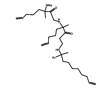 C=CCCCCCCC(C)(NCCC(=O)C(C)(CCCC=C)NCC(=O)C(C)(CCCC=C)NC)C(C)=O